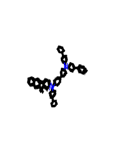 CC1(C)c2cc(N(c3ccc(-c4ccccc4)cc3)c3ccc(-c4ccc(N(c5ccc(-c6ccccc6)cc5)c5ccc(-c6ccccc6)cc5)cc4)cc3)ccc2-c2cc3ccccc3cc21